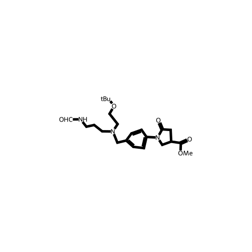 COC(=O)C1CC(=O)N(c2ccc(CN(CCCNC=O)CCOC(C)(C)C)cc2)C1